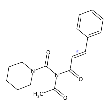 CC(=O)N(C(=O)/C=C/c1ccccc1)C(=O)N1CCCCC1